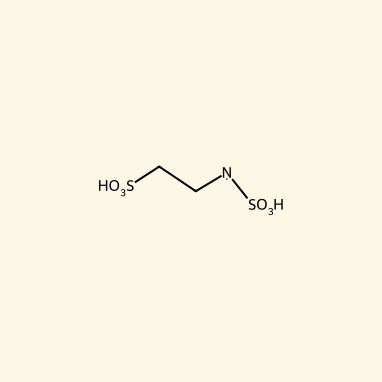 O=S(=O)(O)CC[N]S(=O)(=O)O